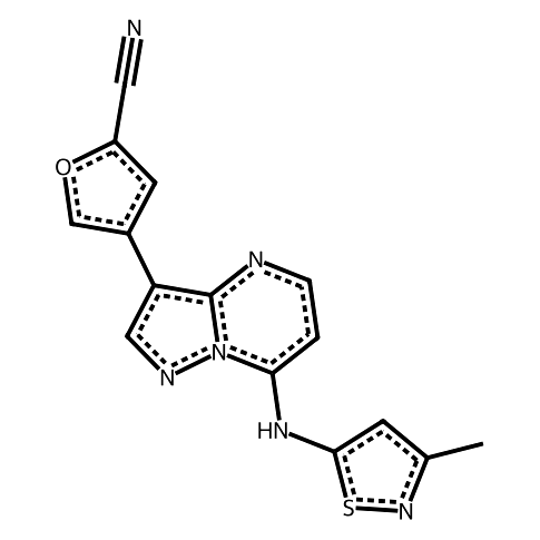 Cc1cc(Nc2ccnc3c(-c4coc(C#N)c4)cnn23)sn1